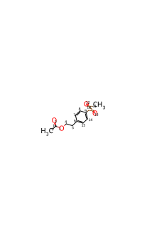 CC(=O)OCCc1ccc(S(C)(=O)=O)cc1